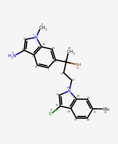 Cn1cc(N)c2ccc(C(C)(S)CCn3cc(Cl)c4ccc(C(C)(C)C)cc43)cc21